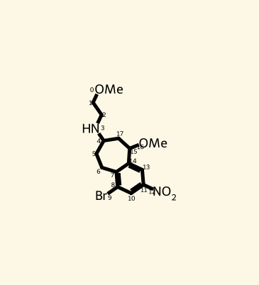 COCCNC1CCc2c(Br)cc([N+](=O)[O-])cc2C(OC)C1